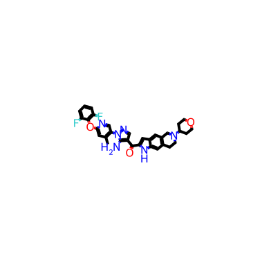 Cc1cc(Oc2c(F)cccc2F)ncc1-n1ncc(C(=O)c2cc3cc4c(cc3[nH]2)CCN(C2CCOCC2)C4)c1N